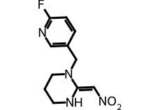 O=[N+]([O-])C=C1NCCCN1Cc1ccc(F)nc1